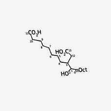 CCCCCCCCC(O)C(CCCCCCCC(=O)O)CC(=O)O